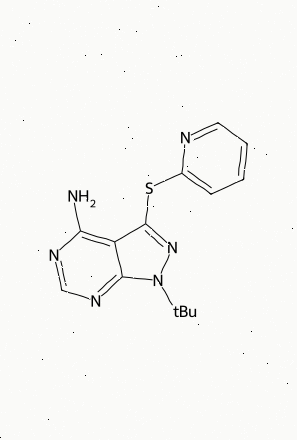 CC(C)(C)n1nc(Sc2ccccn2)c2c(N)ncnc21